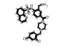 NCc1cc(C(=O)N2CCN(Cc3ccc(Cl)cc3Cl)CC2)ccc1NS(=O)(=O)c1cccc2cccnc12